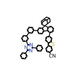 N#Cc1ccc2c(c1)sc1cc(-c3cccc4c3-c3ccc(-c5cccc(-c6cccc(-c7nc(-c8ccccc8)nc(-c8ccccc8)n7)c6)c5)cc3C43C4CC5CC(C4)CC3C5)ccc12